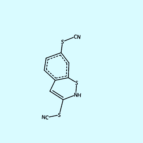 N#CSC1=Cc2ccc(SC#N)cc2SN1